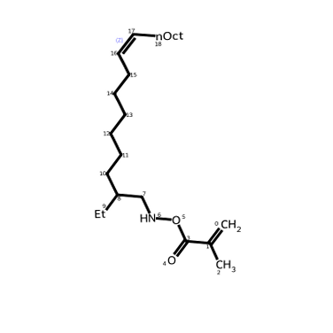 C=C(C)C(=O)ONCC(CC)CCCCCC/C=C\CCCCCCCC